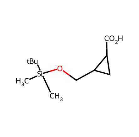 CC(C)(C)[Si](C)(C)OCC1CC1C(=O)O